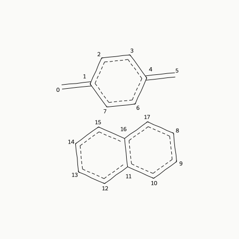 C=c1ccc(=C)cc1.c1ccc2ccccc2c1